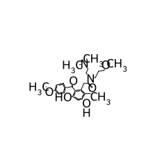 CCc1c(O)cc(O)c(C(=O)c2ccc(OC)cc2)c1CC(=O)N(CCCOC)CCN(C)C